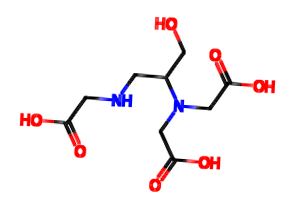 O=C(O)CNCC(CO)N(CC(=O)O)CC(=O)O